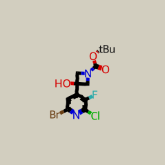 CC(C)(C)OC(=O)N1CC(O)(c2cc(Br)nc(Cl)c2F)C1